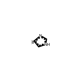 [B].c1c[nH]cn1